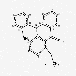 CCc1ccccc1C(=O)c1ccccc1Nc1ncccc1N